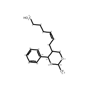 O=C(O)CCC/C=C\CC1COC(C(F)(F)F)OC1c1ccccc1